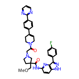 COCC1(C(=O)Nc2ccc3[nH]nc(-c4ccc(F)cc4)c3n2)CCN(CC(=O)N2CC=C(c3ccc(-c4ncccn4)cc3)CC2)C1